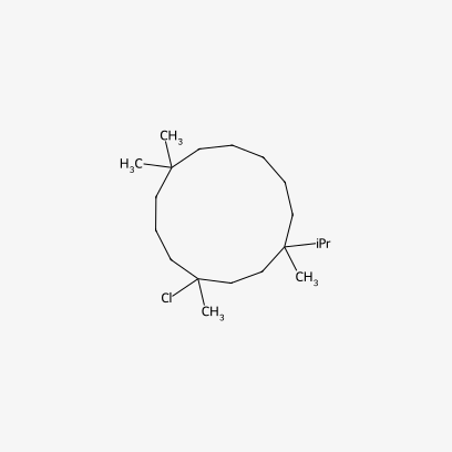 CC(C)C1(C)CCCCCC(C)(C)CCCC(C)(Cl)CC1